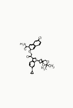 CC1(C)OCC2(CC(n3cc(C(=O)COc4cc5ccc(Cl)cc5cc4C(N)=O)c4ccc(C5CC5)cc43)C2)O1